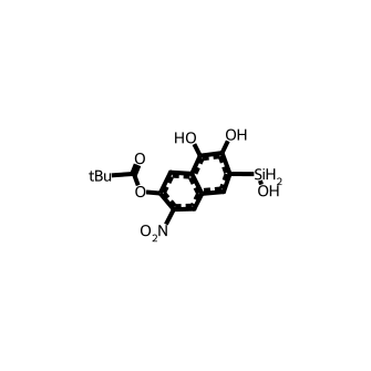 CC(C)(C)C(=O)Oc1cc2c(O)c(O)c([SiH2]O)cc2cc1[N+](=O)[O-]